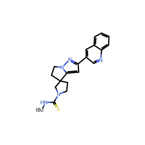 CC(C)(C)NC(=S)N1CCC2(CCn3nc(-c4cnc5ccccc5c4)cc32)C1